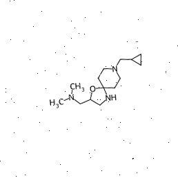 CN(C)CC1CNC2(CCN(CC3CC3)CC2)O1